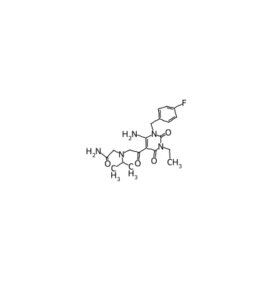 CCn1c(=O)c(C(=O)CN(CC(N)=O)C(C)C)c(N)n(Cc2ccc(F)cc2)c1=O